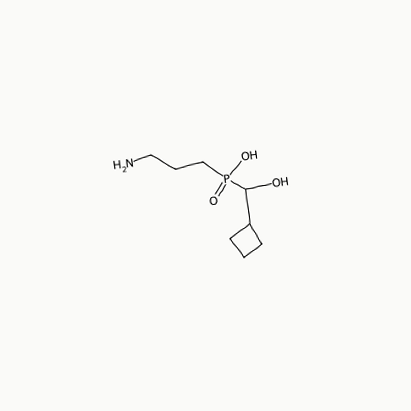 NCCCP(=O)(O)C(O)C1CCC1